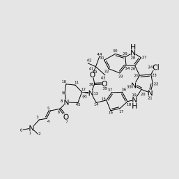 CN(C)CC=CC(=O)N1CCC[C@@H](N(Cc2ccc(Nc3ncc(Cl)c(-c4c[nH]c5ccccc45)n3)cc2)C(=O)OC(C)(C)C)C1